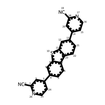 N#Cc1cc(-c2ccc3c(c2)sc2cc(-c4ccnc(C#N)c4)ccc23)ccn1